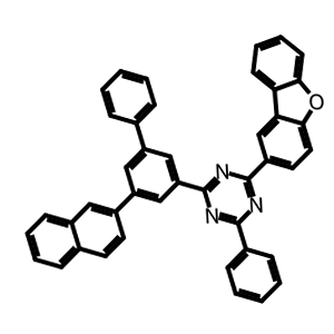 c1ccc(-c2cc(-c3ccc4ccccc4c3)cc(-c3nc(-c4ccccc4)nc(-c4ccc5oc6ccccc6c5c4)n3)c2)cc1